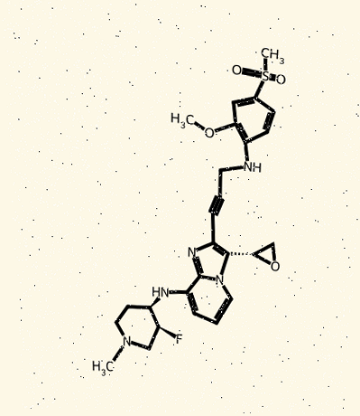 COc1cc(S(C)(=O)=O)ccc1NCC#Cc1nc2c(N[C@@H]3CCN(C)C[C@@H]3F)cccn2c1[C@@H]1CO1